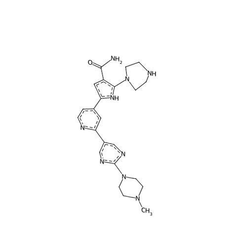 CN1CCN(c2ncc(-c3cc(-c4cc(C(N)=O)c(N5CCNCC5)[nH]4)ccn3)cn2)CC1